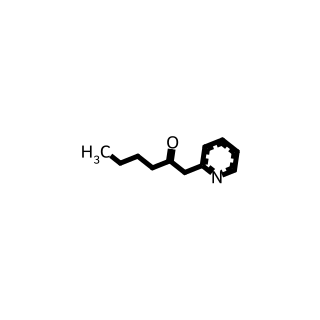 CCCCC(=O)Cc1ccccn1